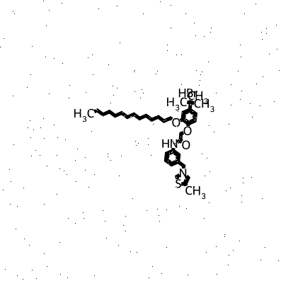 Br.CCCCCCCCCCCCCCOc1cc(C(C)(C)C)ccc1OCC(=O)Nc1cccc(CN2C=C(C)SC2)c1